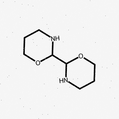 C1CNC(C2NCCCO2)OC1